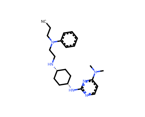 CN(C)c1ccnc(N[C@H]2CC[C@@H](NCCN(CCC#N)c3ccccc3)CC2)n1